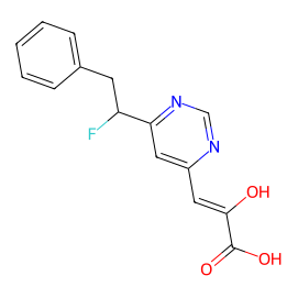 O=C(O)/C(O)=C/c1cc(C(F)Cc2ccccc2)ncn1